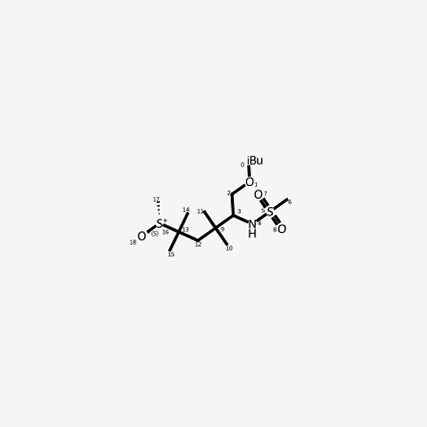 CCC(C)OCC(NS(C)(=O)=O)C(C)(C)CC(C)(C)[S@@+](C)[O-]